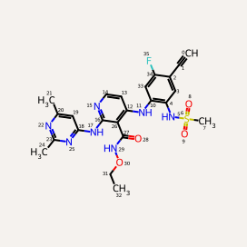 C#Cc1cc(NS(C)(=O)=O)c(Nc2ccnc(Nc3cc(C)nc(C)n3)c2C(=O)NOCC)cc1F